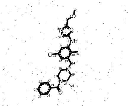 COCc1nnc(Nc2cc(Cl)cc(CN3CCN(C(=O)c4ccccc4)[C@@H](C)C3)c2C)o1